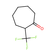 O=C1CCCCCC1C(F)(F)F